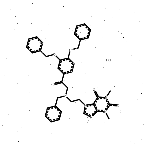 Cl.Cn1c(=O)c2c(ncn2CCN(CC(=O)c2ccc(OCc3ccccc3)c(OCc3ccccc3)c2)Cc2ccccc2)n(C)c1=O